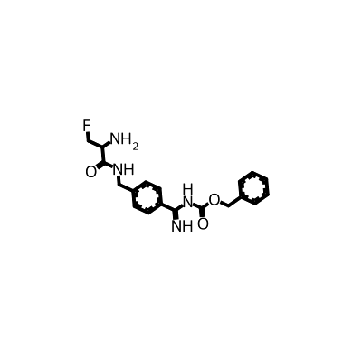 N=C(NC(=O)OCc1ccccc1)c1ccc(CNC(=O)C(N)CF)cc1